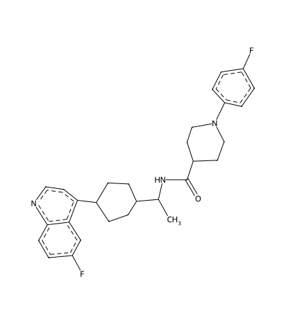 CC(NC(=O)C1CCN(c2ccc(F)cc2)CC1)C1CCC(c2ccnc3ccc(F)cc23)CC1